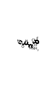 CC(Oc1cc(-c2cncc(C(=O)N3CCN(C)CC3)c2)cnc1N)c1c(F)ccc(F)c1Cl